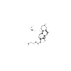 CC(C)CCC[C@@H](C)[C@H]1CC[C@H]2[C@@H]3CC=C4C[C@@H](O)CC[C@]4(C)[C@H]3CC[C@]12C.CS(=O)(=O)O